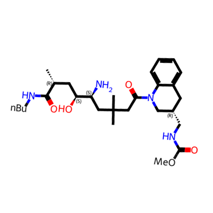 CCCCNC(=O)[C@H](C)C[C@H](O)[C@@H](N)CC(C)(C)CC(=O)N1C[C@@H](CNC(=O)OC)Cc2ccccc21